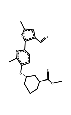 COC(=O)[C@H]1CCC[C@H](Oc2ccc(-c3sc(C)cc3C=O)nc2C)C1